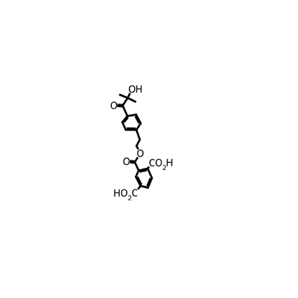 CC(C)(O)C(=O)c1ccc(CCOC(=O)c2cc(C(=O)O)ccc2C(=O)O)cc1